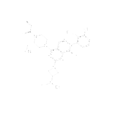 C=CC(=O)N1C[C@H](C)N(c2nc(N3CC(N(CC)CC)C3)nc3c(=O)n(-c4cccc(Cl)c4C(F)(F)F)ncc23)C[C@@H]1CC#N